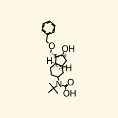 CC(C)(C)N(C(=O)O)C1CC[C@@H]2[C@@H](C1)C[C@H](O)[C@H]2COCc1ccccc1